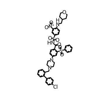 O=C(NS(=O)(=O)c1ccc(NCC2CCOCC2)c([N+](=O)[O-])c1)c1ccc(N2CCN(Cc3ccccc3-c3ccc(Cl)cc3)CC2)cc1S(=O)(=O)c1ccccc1